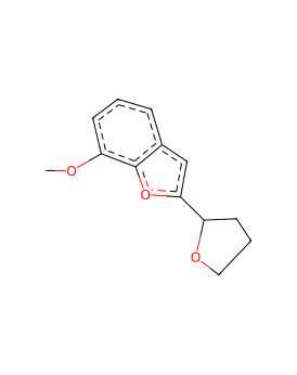 COc1cccc2cc(C3CCCO3)oc12